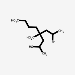 CC(S)CC(CCCC(=O)O)(CC(C)S)C(=O)O